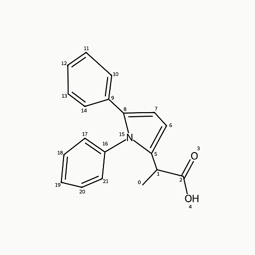 CC(C(=O)O)c1ccc(-c2ccccc2)n1-c1ccccc1